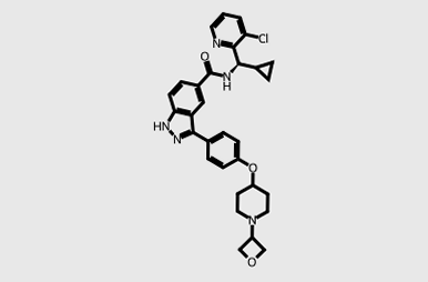 O=C(N[C@@H](c1ncccc1Cl)C1CC1)c1ccc2[nH]nc(-c3ccc(OC4CCN(C5COC5)CC4)cc3)c2c1